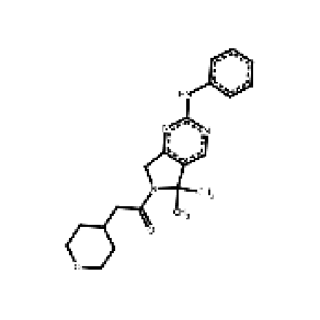 CC1(C)c2cnc(Nc3ccccc3)nc2CN1C(=O)CC1CCOCC1